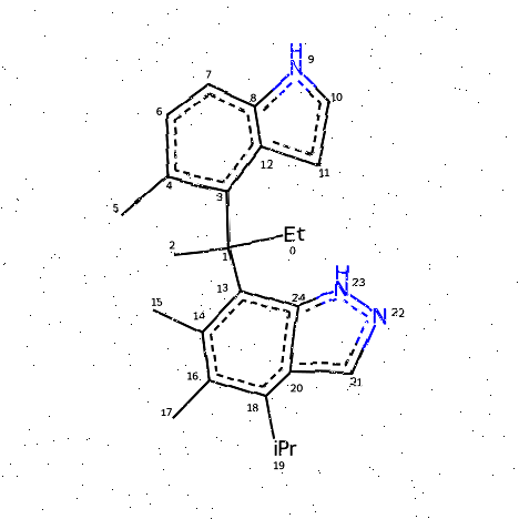 CCC(C)(c1c(C)ccc2[nH]ccc12)c1c(C)c(C)c(C(C)C)c2cn[nH]c12